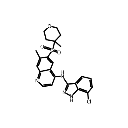 Cc1cc2nccc(Nc3n[nH]c4c(Cl)cccc34)c2cc1S(=O)(=O)C1(C)CCOCC1